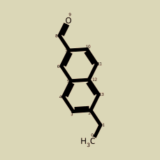 CCc1ccc2cc(C=O)ccc2c1